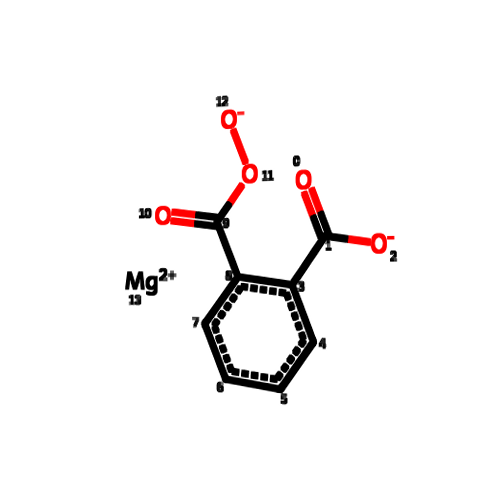 O=C([O-])c1ccccc1C(=O)O[O-].[Mg+2]